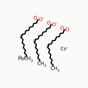 CCCCCCCC/C=C\CCCCCCCC(=O)[O-].CCCCCCCC/C=C\CCCCCCCC(=O)[O-].CCCCCCCC/C=C\CCCCCCCC(=O)[O-].[Cs+].[Pb+2]